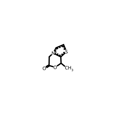 CC1OC(=O)C[n+]2ccsc21